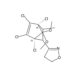 COC1(OC)[C@@]2(Cl)C(Cl)=C(Cl)[C@]1(Cl)C(C1=NOCC1)C2C